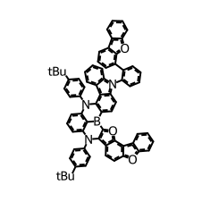 CC(C)(C)c1ccc(N2c3cccc4c3B(c3ccc5c(c3N4c3ccc(C(C)(C)C)cc3)c3ccccc3n5-c3ccccc3-c3cccc4c3oc3ccccc34)c3oc4c(ccc5oc6ccccc6c54)c32)cc1